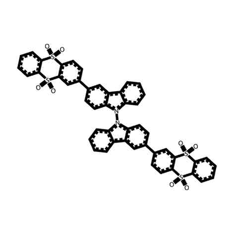 O=S1(=O)c2ccccc2S(=O)(=O)c2cc(-c3ccc4c(c3)c3ccccc3n4-n3c4ccccc4c4cc(-c5ccc6c(c5)S(=O)(=O)c5ccccc5S6(=O)=O)ccc43)ccc21